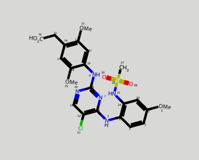 COc1ccc(Nc2nc(Nc3cc(OC)c(CC(=O)O)cc3OC)ncc2Cl)c(NS(C)(=O)=O)c1